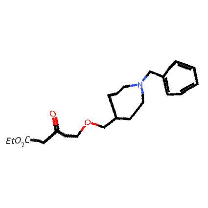 CCOC(=O)CC(=O)COCC1CCN(Cc2ccccc2)CC1